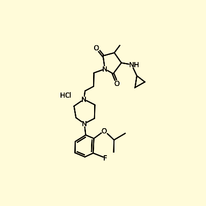 CC(C)Oc1c(F)cccc1N1CCN(CCCN2C(=O)C(C)C(NC3CC3)C2=O)CC1.Cl